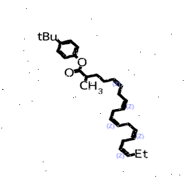 CC/C=C\C/C=C\C/C=C\C/C=C\C/C=C\CCC(C)C(=O)Oc1ccc(C(C)(C)C)cc1